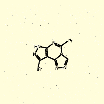 CC(C)c1n[nH]c2nc(C(C)C)n3cnnc3c12